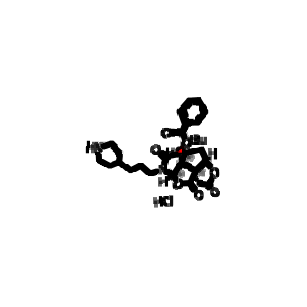 CC(C)(C)[C@]1(O)C[C@@H]2OC(=O)C[C@@]23C(=O)O[C@@H]2N(CCCC4CCNCC4)C(=O)[C@@H](OC(=O)c4ccccc4)[C@]213.Cl